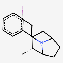 C[C@@H]1C(c2ccccc2)CC2CCC1N2CCCI